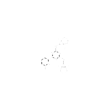 Clc1cccc(-c2nc(NC3[C@H]4COC[C@@H]34)nc(NC3[C@H]4COC[C@@H]34)n2)n1